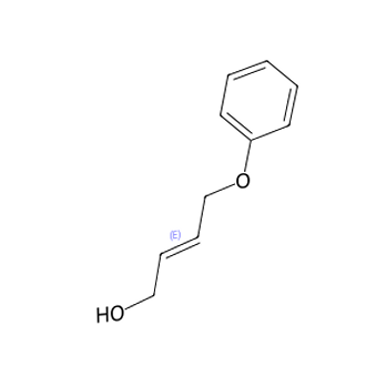 OC/C=C/COc1ccccc1